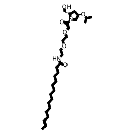 CCCCCCCCCCCCCCCC(=O)NCCOCCOCC(=O)N1C[C@H](OC(C)C)C[C@H]1CO